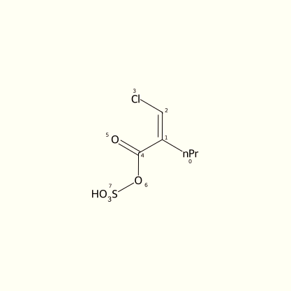 CCCC(=CCl)C(=O)OS(=O)(=O)O